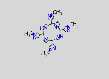 CN1CC(c2c3nc(c(-c4cnn(C)c4)c4ccc([nH]4)c(-c4cnn(C)c4)c4nc(c(-c5cnn(C)c5)c5ccc2[nH]5)C=C4)C=C3)C=N1